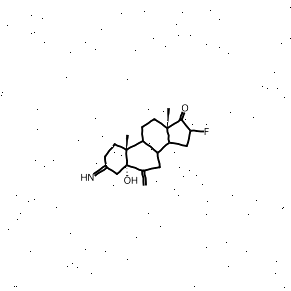 C=C1CC2C3CC(F)C(=O)[C@@]3(C)CCC2[C@@]2(C)CCC(=N)C[C@]12O